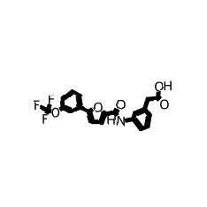 O=C(O)Cc1cccc(NC(=O)c2ccc(-c3cccc(OC(F)(F)F)c3)o2)c1